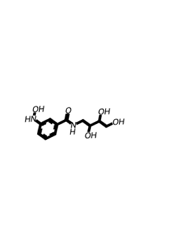 O=C(NCC(O)C(O)CO)c1cccc(NO)c1